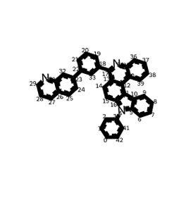 c1ccc(-n2c3ccccc3c3c4c(ccc32)c(-c2cccc(-c3ccc5cccnc5c3)c2)nc2ccccc24)cc1